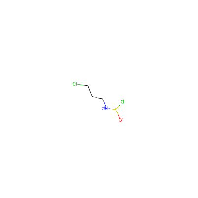 [O-][S+](Cl)NCCCCl